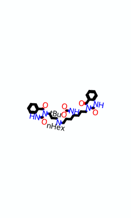 CCCCCCN(CCCC(CCCn1c(=O)[nH]c2ccccc2c1=O)NC(=O)OC(C)(C)C)CCCn1c(=O)[nH]c2ccccc2c1=O